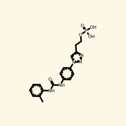 Cc1ccccc1NC(=O)Nc1ccc(-n2cc(CCOP(=O)(O)O)nn2)cc1